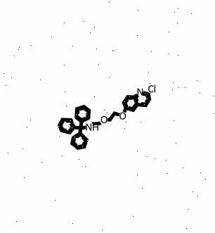 Clc1ccc2cc(OCCOCCNC(c3ccccc3)(c3ccccc3)c3ccccc3)ccc2n1